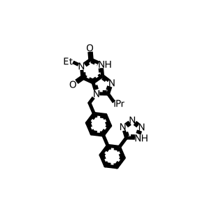 CCn1c(=O)[nH]c2nc(C(C)C)n(Cc3ccc(-c4ccccc4-c4nnn[nH]4)cc3)c2c1=O